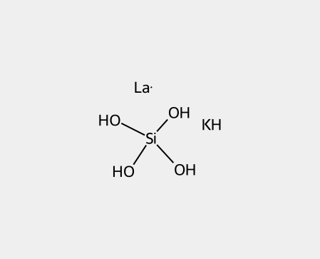 O[Si](O)(O)O.[KH].[La]